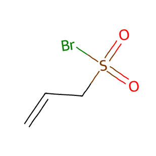 C=CCS(=O)(=O)Br